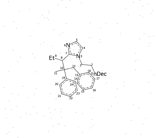 CCCCCCCCCCCCn1ccnc1C(CC)C(C)(Cc1ccccc1)c1ccccc1